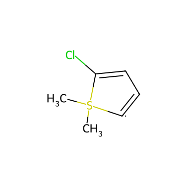 CS1(C)[C]=CC=C1Cl